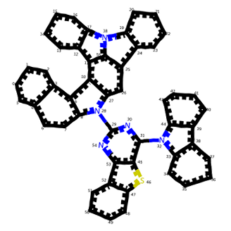 c1ccc2c(c1)ccc1c2c2c3c4ccccc4n4c5ccccc5c(cc2n1-c1nc(-n2c5ccccc5c5ccccc52)c2sc5ccccc5c2n1)c34